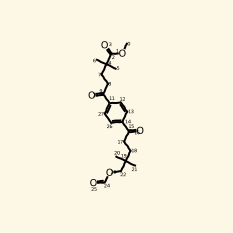 COC(=O)C(C)(C)CCC(=O)c1ccc(C(=O)CCC(C)(C)COC=O)cc1